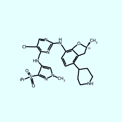 CC(C)S(=O)(=O)c1nn(C)cc1Nc1nc(Nc2ccc(C3CCNCC3)c3c2O[C@@H](C)C3)ncc1Cl